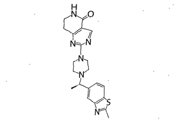 Cc1nc2cc([C@@H](C)N3CCN(c4ncc5c(n4)CCNC5=O)CC3)ccc2s1